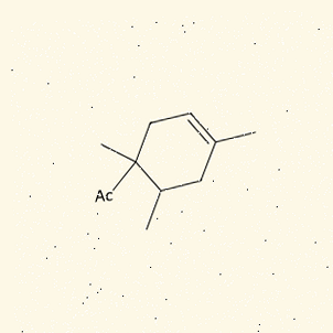 CC(=O)C1(C)CC=C(C)CC1C